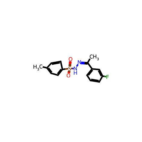 CC(=NNS(=O)(=O)c1ccc(C)cc1)c1cccc(F)c1